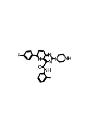 Cc1ccccc1NC(=O)c1nc(N2CCNCC2)nc2ccc(-c3ccc(F)cc3)nc12